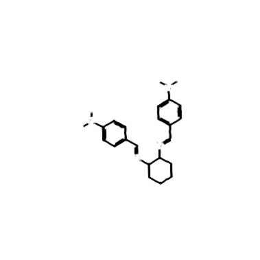 CCN(CC)c1ccc(C=NC2CCCCC2N=Cc2ccc(N(CC)CC)cc2)cc1